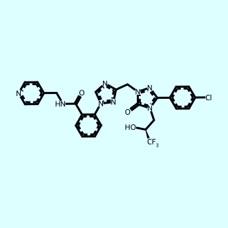 O=C(NCc1ccncc1)c1ccccc1-n1cnc(Cn2nc(-c3ccc(Cl)cc3)n(C[C@H](O)C(F)(F)F)c2=O)n1